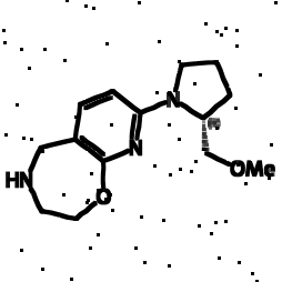 COC[C@H]1CCCN1c1ccc2c(n1)OCCNC2